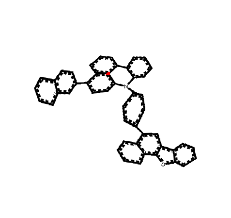 c1ccc(-c2ccccc2N(c2ccc(-c3ccc4ccccc4c3)cc2)c2ccc(-c3cc4c5ccccc5oc4c4ccccc34)cc2)cc1